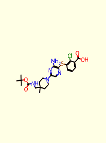 CC1(CNC(=O)OC(C)(C)C)CCN(c2cnc(Sc3cccc(C(=O)O)c3Cl)c(N)n2)CC1